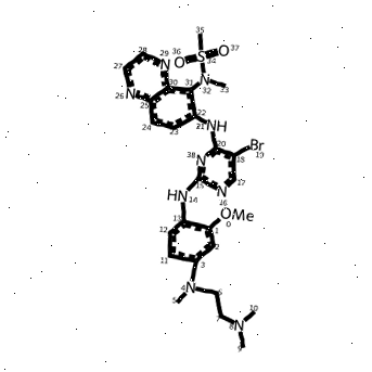 COc1cc(N(C)CCN(C)C)ccc1Nc1ncc(Br)c(Nc2ccc3nccnc3c2N(C)S(C)(=O)=O)n1